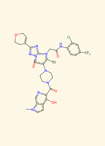 CCc1c(N2CCN(C(=O)c3ncc4c(ccn4C)c3O)CC2)c(=O)n2nc(C3=CCOCC3)nc2n1CC(=O)Nc1ccc(C(F)(F)F)cc1Cl